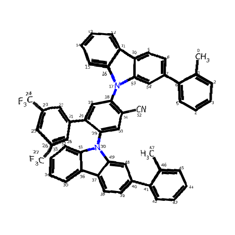 Cc1ccccc1-c1ccc2c3ccccc3n(-c3cc(-c4cc(C(F)(F)F)cc(C(F)(F)F)c4)c(-n4c5ccccc5c5ccc(-c6ccccc6C)cc54)cc3C#N)c2c1